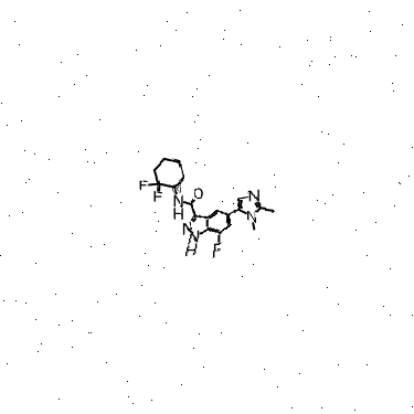 Cc1ncc(-c2cc(F)c3[nH]nc(C(=O)N[C@@H]4CCCCC4(F)F)c3c2)n1C